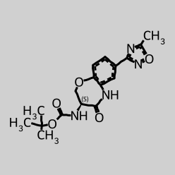 Cc1nc(-c2ccc3c(c2)NC(=O)[C@@H](NC(=O)OC(C)(C)C)CO3)no1